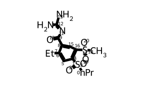 CCCS(=O)(=O)c1cc(CC)c(C(=O)N=C(N)N)cc1S(C)(=O)=O